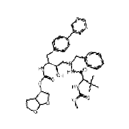 COC(=O)NC(C(=O)NN(Cc1ccccc1)CC(O)C(Cc1ccc(-c2cncnc2)cc1)NC(=O)OC1COC2OCCC12)C(C)(C)C